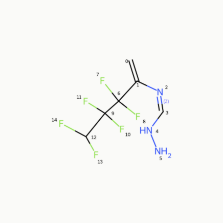 C=C(/N=C\NN)C(F)(F)C(F)(F)C(F)F